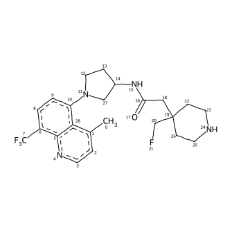 Cc1ccnc2c(C(F)(F)F)ccc(N3CCC(NC(=O)CC4(CF)CCNCC4)C3)c12